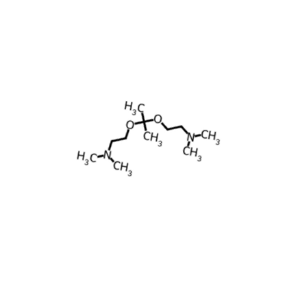 CN(C)CCOC(C)(C)OCCN(C)C